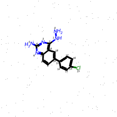 NNc1nc(N)nc2ccc(-c3ccc(Cl)cc3)cc12